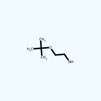 CC(C)(C)OCC[NH]